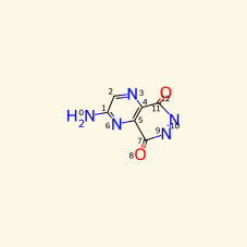 Nc1cnc2c(n1)C(=O)N=NC2=O